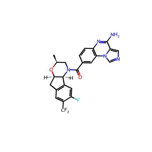 C[C@H]1CN(C(=O)c2ccc3nc(N)c4cncn4c3c2)[C@H]2c3cc(F)c(C(F)(F)F)cc3C[C@H]2O1